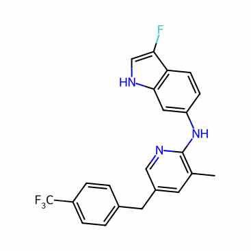 Cc1cc(Cc2ccc(C(F)(F)F)cc2)cnc1Nc1ccc2c(F)c[nH]c2c1